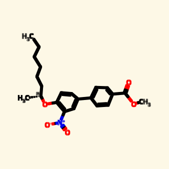 CCCCCC[C@@H](C)Oc1ccc(-c2ccc(C(=O)OC)cc2)cc1[N+](=O)[O-]